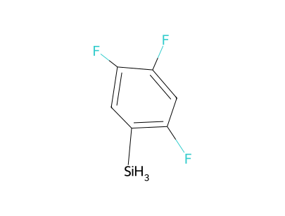 Fc1cc(F)c([SiH3])cc1F